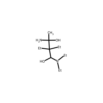 CCN(CC)C(O)C(CC)(CC)C(C)(N)O